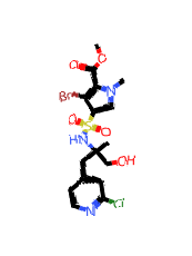 COC(=O)c1c(Br)c(S(=O)(=O)NC(C)(CO)Cc2ccnc(Cl)c2)cn1C